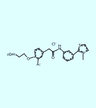 CCCCCCCCCCCCOc1ccc(CC(=O)Nc2cccc(-c3scc[n+]3C)c2)cc1C(C)=O.[Cl-]